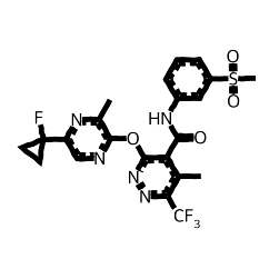 Cc1nc(C2(F)CC2)cnc1Oc1nnc(C(F)(F)F)c(C)c1C(=O)Nc1cccc(S(C)(=O)=O)c1